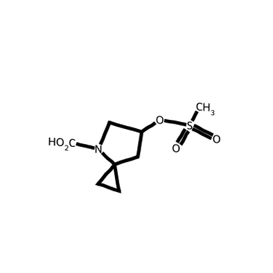 CS(=O)(=O)OC1CN(C(=O)O)C2(CC2)C1